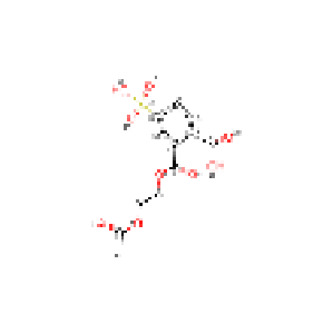 CC(=O)OCCOC(=O)c1cc(S(=O)(=O)O)ccc1C(=O)O